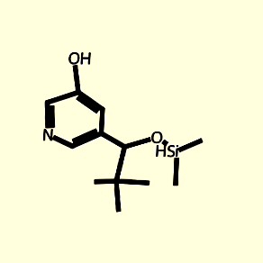 C[SiH](C)OC(c1cncc(O)c1)C(C)(C)C